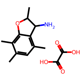 Cc1cc(C)c2c(c1C)OC(C)C2N.O=C(O)C(=O)O